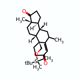 CC1C[C@@H]2[C@@H](CC[C@]3(C)C(=O)CC[C@@H]23)[C@@]2(CO[Si](C)(C)C(C)(C)C)CCC(=O)C=C12